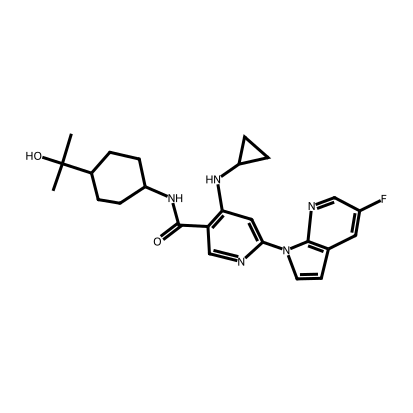 CC(C)(O)C1CCC(NC(=O)c2cnc(-n3ccc4cc(F)cnc43)cc2NC2CC2)CC1